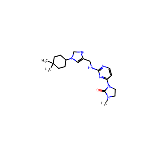 CN1CCN(c2ccnc(NCC3=CN(C4CCC(C)(C)CC4)CN3)n2)C1=O